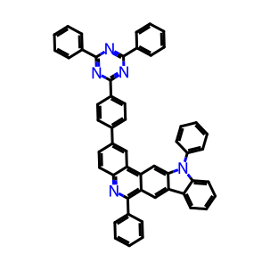 c1ccc(-c2nc(-c3ccccc3)nc(-c3ccc(-c4ccc5nc(-c6ccccc6)c6cc7c8ccccc8n(-c8ccccc8)c7cc6c5c4)cc3)n2)cc1